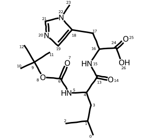 CC(C)CC(NC(=O)OC(C)(C)C)C(=O)NC(Cc1cncn1C)C(=O)O